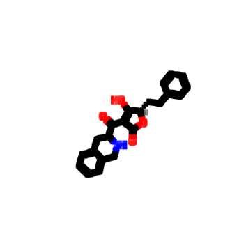 O=C1O[C@@H](CCc2ccccc2)C(O)=C1C(=O)C1Cc2ccccc2CN1